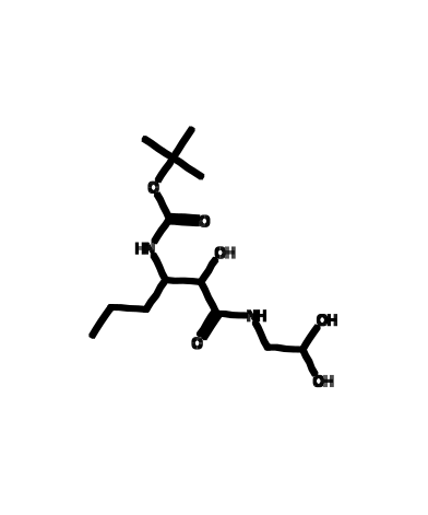 CCCC(NC(=O)OC(C)(C)C)C(O)C(=O)NCC(O)O